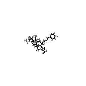 C[C@]12C=CC(=O)C=C1[C@H](OCCCc1ccccc1)C[C@@H]1[C@@H]2CC[C@]2(C)C(=O)CC[C@@H]12